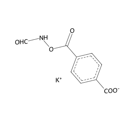 O=CNOC(=O)c1ccc(C(=O)[O-])cc1.[K+]